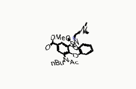 CCCCN(C(C)=O)c1cc(C(=O)OC)cc(S(=O)(=O)/N=C/N(C)C)c1Oc1ccccc1